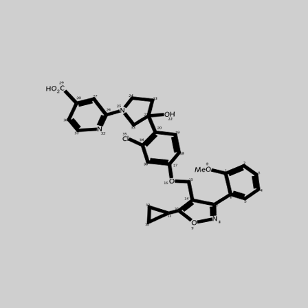 COc1ccccc1-c1noc(C2CC2)c1COc1ccc(C2(O)CCN(c3cc(C(=O)O)ccn3)C2)c(Cl)c1